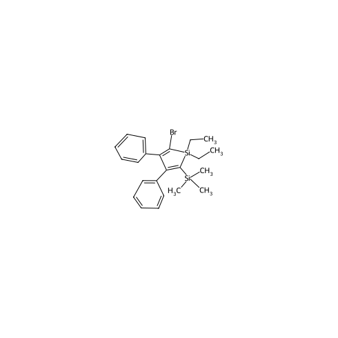 CC[Si]1(CC)C(Br)=C(c2ccccc2)C(c2ccccc2)=C1[Si](C)(C)C